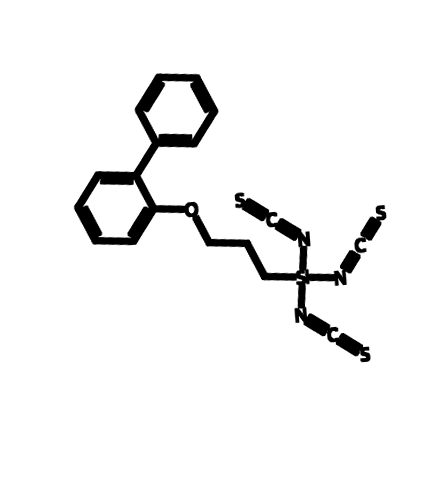 S=C=N[Si](CCCOc1ccccc1-c1ccccc1)(N=C=S)N=C=S